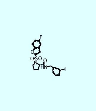 O=C(NCc1cccc(I)c1)[C@@H]1CCCN1S(=O)(=O)c1cc2cc(F)ccc2o1